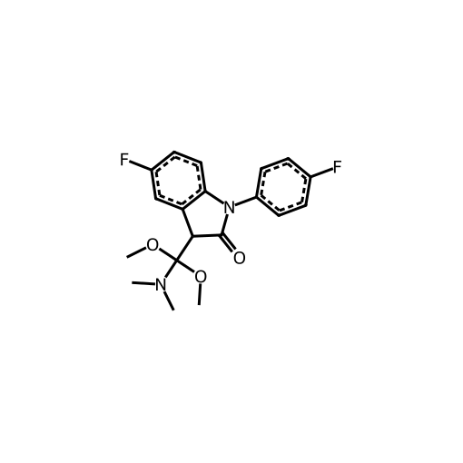 COC(OC)(C1C(=O)N(c2ccc(F)cc2)c2ccc(F)cc21)N(C)C